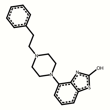 Oc1nc2c(N3CCN(CCc4ccccc4)CC3)cccc2s1